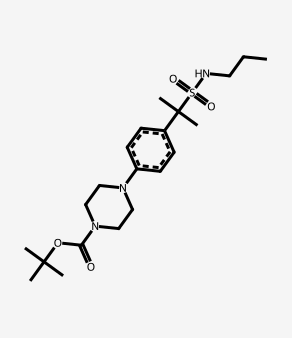 CCCNS(=O)(=O)C(C)(C)c1ccc(N2CCN(C(=O)OC(C)(C)C)CC2)cc1